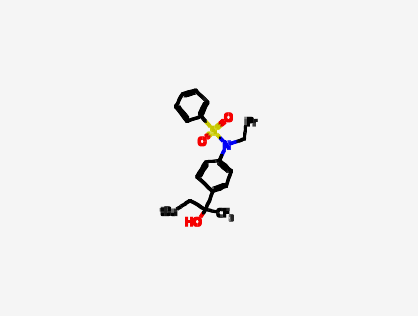 CC(C)CN(c1ccc(C(O)(CC(C)(C)C)C(F)(F)F)cc1)S(=O)(=O)c1ccccc1